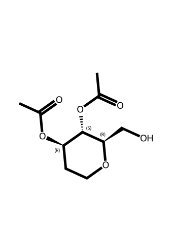 CC(=O)O[C@@H]1[C@@H](CO)OCC[C@H]1OC(C)=O